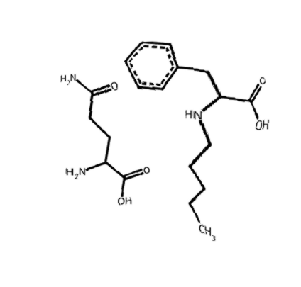 CCCCCNC(Cc1ccccc1)C(=O)O.NC(=O)CCC(N)C(=O)O